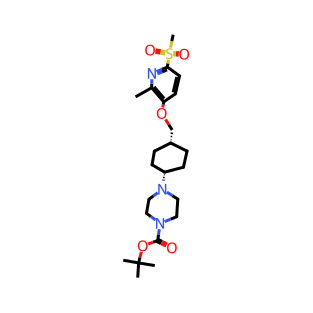 Cc1nc(S(C)(=O)=O)ccc1OC[C@H]1CC[C@@H](N2CCN(C(=O)OC(C)(C)C)CC2)CC1